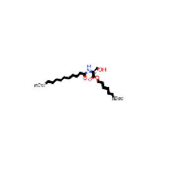 CCCCCCCCCCCCCCCCCCCC(=O)N[C@@H](CO)C(=O)OCCCCCCCCCCCCCCCC